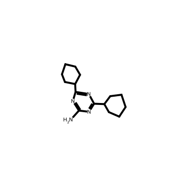 Nc1nc(C2CCCCC2)nc(C2CCCCC2)n1